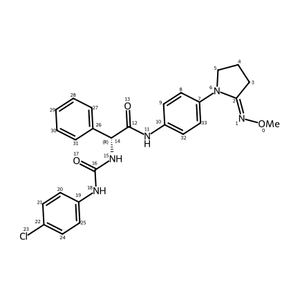 CON=C1CCCN1c1ccc(NC(=O)[C@H](NC(=O)Nc2ccc(Cl)cc2)c2ccccc2)cc1